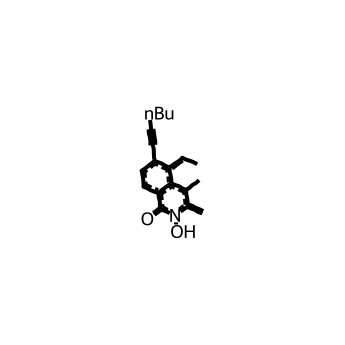 C=c1c(C)c2/c(=C\C)c(C#CCCCC)ccc2c(=O)n1O